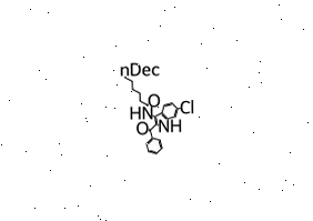 CCCCCCCCCCCCCCCC(=O)Nc1c(C(=O)c2ccccc2)[nH]c2cc(Cl)ccc12